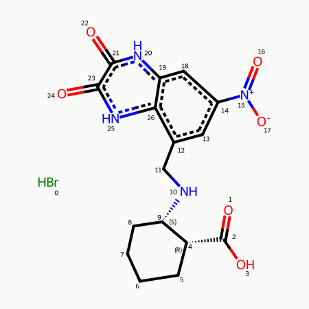 Br.O=C(O)[C@@H]1CCCC[C@@H]1NCc1cc([N+](=O)[O-])cc2[nH]c(=O)c(=O)[nH]c12